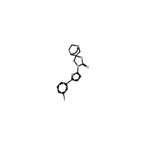 O=C1OC2(CN3CCC2CC3)CN1c1ccc(-c2cccc(F)c2)s1